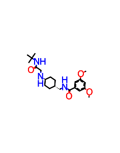 COc1cc(OC)cc(C(=O)NC[C@H]2CC[C@@H](NCC(=O)NC(C)(C)C)CC2)c1